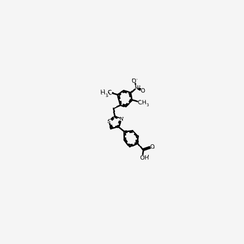 Cc1cc([N+](=O)[O-])c(C)cc1Cc1nc(-c2ccc(C(=O)O)cc2)cs1